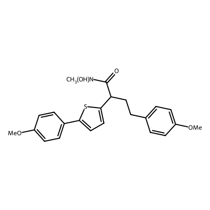 COc1ccc(CCC(C(=O)N(C)O)c2ccc(-c3ccc(OC)cc3)s2)cc1